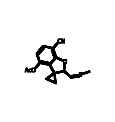 C/B=C\C1Oc2c(C#N)ccc(OC(C)=O)c2C12CC2